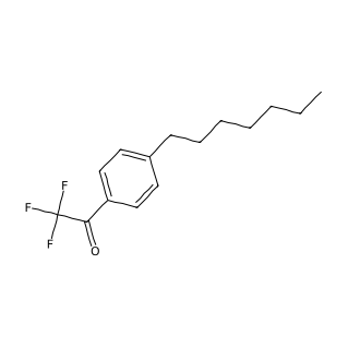 CCCCCCCc1ccc(C(=O)C(F)(F)F)cc1